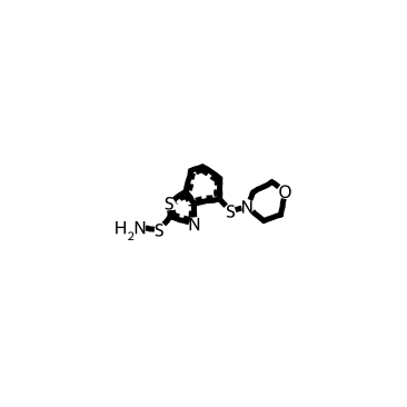 NSc1nc2c(SN3CCOCC3)cccc2s1